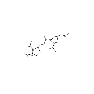 COCC1C[C@@H](C(C)CCC2CC[C@@H](C(C)C)N2C(C)C)N(C(C)C)C1